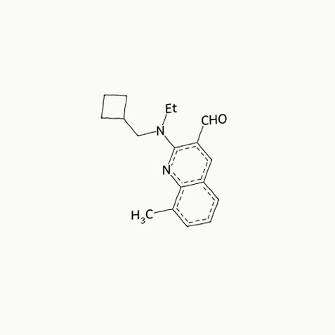 CCN(CC1CCC1)c1nc2c(C)cccc2cc1C=O